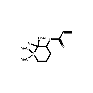 C=CC(=O)OC1CCC[Si](OC)(OC)C1(CCC)OC